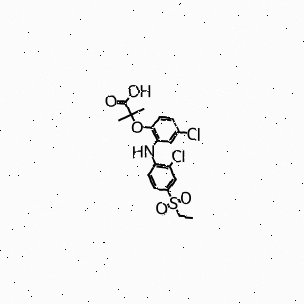 CCS(=O)(=O)c1ccc(Nc2cc(Cl)ccc2OC(C)(C)C(=O)O)c(Cl)c1